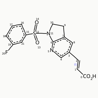 O=C(O)/C=C/c1cnc2c(c1)CCN2S(=O)(=O)c1cccc(F)c1